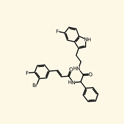 O=C(C=Cc1ccc(F)c(Br)c1)NC(C(=O)NCCc1c[nH]c2ccc(F)cc12)c1ccccc1